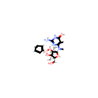 Cc1c(N(C)[C@@H]2O[C@H](CO)[C@H]3OB(c4ccccc4)O[C@H]32)nc(N)[nH]c1=O